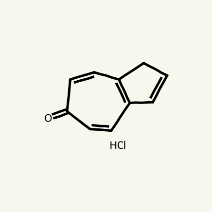 Cl.O=c1ccc2c(cc1)CC=C2